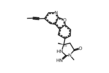 CC#Cc1cnc2oc3ccc([C@]4(C)CC(=O)N(C)C(=N)N4)cc3c2c1